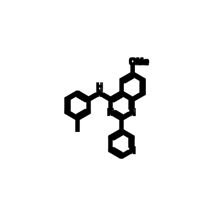 COc1ccc2nc(-c3cccnc3)nc(Nc3cccc(C)c3)c2c1